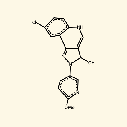 COc1ccc(N2N=C3C(=CNc4ccc(Cl)cc43)C2O)cn1